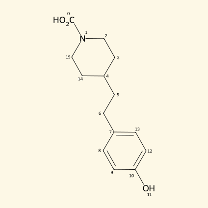 O=C(O)N1CCC(CCc2ccc(O)cc2)CC1